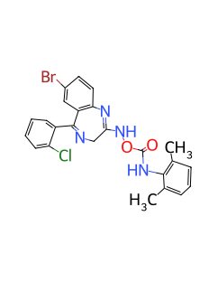 Cc1cccc(C)c1NC(=O)ONC1=Nc2ccc(Br)cc2C(c2ccccc2Cl)=NC1